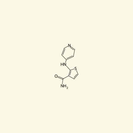 NC(=O)c1ccsc1Nc1ccncc1